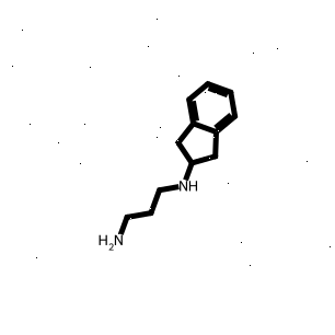 NCCCNC1Cc2ccccc2C1